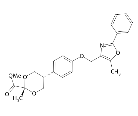 COC(=O)[C@]1(C)OC[C@H](c2ccc(OCc3nc(-c4ccccc4)oc3C)cc2)CO1